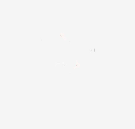 CC1CC(=O)C(=Cc2ccsc2)C1O[Si](C)(c1ccccc1)c1ccccc1